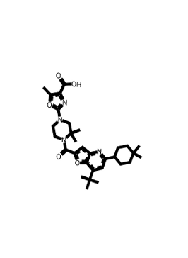 Cc1oc(N2CCN(C(=O)c3cc4nc(C5CCC(C)(C)CC5)cc(C(C)(C)C)c4o3)C(C)(C)C2)nc1C(=O)O